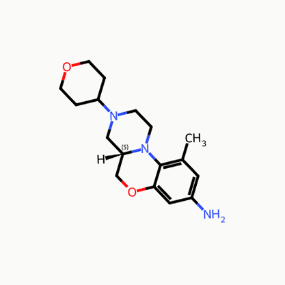 Cc1cc(N)cc2c1N1CCN(C3CCOCC3)C[C@H]1CO2